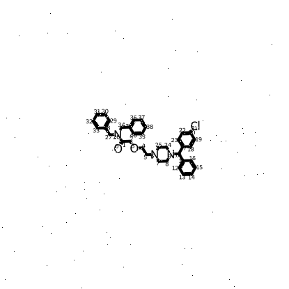 O=C(COCCN1CCN(C(c2ccccc2)c2ccc(Cl)cc2)CC1)N(Cc1ccccc1)Cc1ccccc1